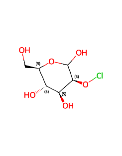 OC[C@H]1OC(O)[C@@H](OCl)[C@@H](O)[C@@H]1O